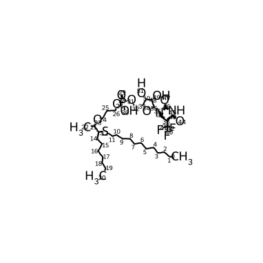 CCCCCCCCCCCCSC(CCCCCCC)C(C)OCCCOP(=O)(O)OC[C@H]1O[C@@H](n2cc(C(F)(F)F)c(=O)[nH]c2=O)[C@H](O)[C@@H]1O